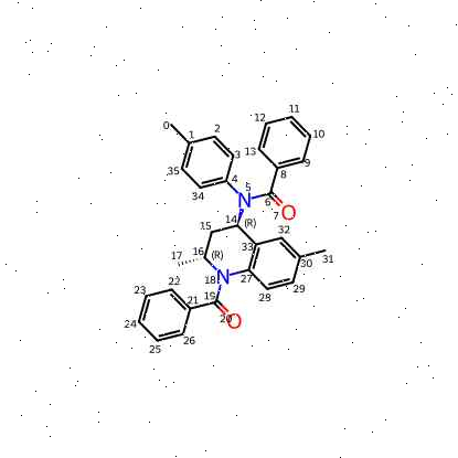 Cc1ccc(N(C(=O)c2ccccc2)[C@@H]2C[C@@H](C)N(C(=O)c3ccccc3)c3ccc(C)cc32)cc1